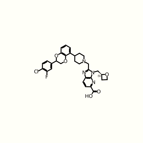 O=C(O)c1ccc2nc(CN3CCC(c4cccc5c4OCC(c4ccc(Cl)c(F)c4)O5)CC3)n(C[C@@H]3CCO3)c2n1